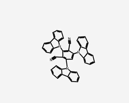 N#Cc1c(-n2c3ccccc3c3ccccc32)cc(-n2c3ccccc3c3ccccc32)c(C#N)c1-n1c2ccccc2c2ccccc21